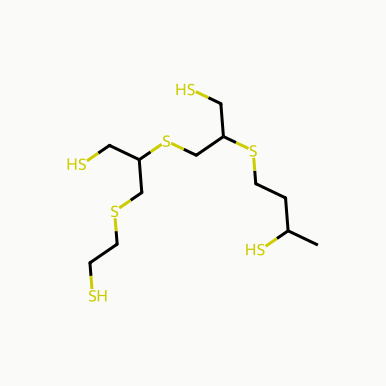 CC(S)CCSC(CS)CSC(CS)CSCCS